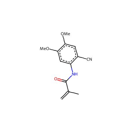 C=C(C)C(=O)Nc1cc(OC)c(OC)cc1C#N